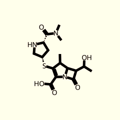 CC(O)C1C(=O)N2C(C(=O)O)=C(S[C@@H]3CN[C@H](C(=O)N(C)C)C3)C(C)C12